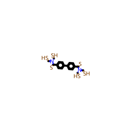 S=C(c1ccc(-c2ccc(C(=S)N(CS)CS)cc2)cc1)N(CS)CS